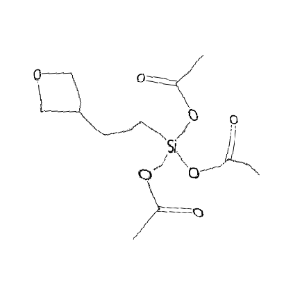 CC(=O)O[Si](CCC1COC1)(OC(C)=O)OC(C)=O